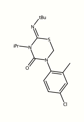 Cc1cc(Cl)ccc1N1CSC(=NC(C)(C)C)N(C(C)C)C1=O